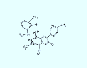 Cc1ccc(-n2cc3c(N[C@H](C)c4cccc(C(F)(F)F)c4F)nn(C)c(=O)c3cc2=O)cn1